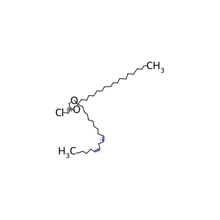 CCCCC/C=C\C/C=C\CCCCCCCCC1(CCCCCCCCCCCCCCCCCC)OC[C@H](CCl)O1